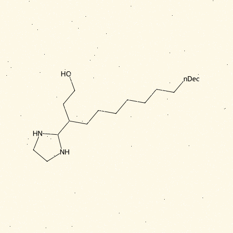 CCCCCCCCCCCCCCCCCC(CCO)C1NCCN1